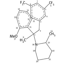 [CH2]C(Cc1cc(C(F)(F)F)cc(C(F)(F)F)c1)(c1ccccc1OC)N1CCCCC1C